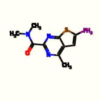 Cc1nc(C(=O)N(C)C)nc2sc(P)cc12